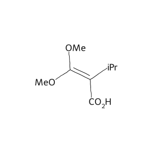 COC(OC)=C(C(=O)O)C(C)C